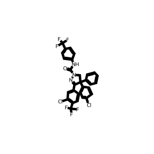 O=C(Nc1ccc(C(F)(F)F)cc1)N1CC(c2ccccc2)(c2ccc(Cl)cc2)C(c2ccc(C(F)(F)F)c(Cl)c2)=N1